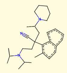 Cc1ccc2ccccc2c1C(C#N)(CCN(C(C)C)C(C)C)CC(C)N1CCCCC1